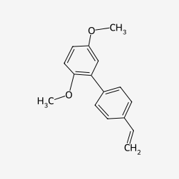 C=Cc1ccc(-c2cc(OC)ccc2OC)cc1